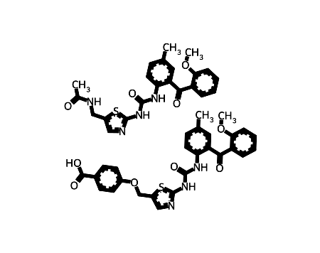 COc1ccccc1C(=O)c1cc(C)ccc1NC(=O)Nc1ncc(CNC(C)=O)s1.COc1ccccc1C(=O)c1cc(C)ccc1NC(=O)Nc1ncc(COc2ccc(C(=O)O)cc2)s1